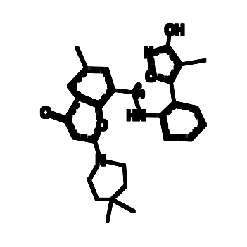 Cc1cc([C@@H](C)Nc2ccccc2-c2onc(O)c2C)c2oc(N3CCC(C)(C)CC3)cc(=O)c2c1